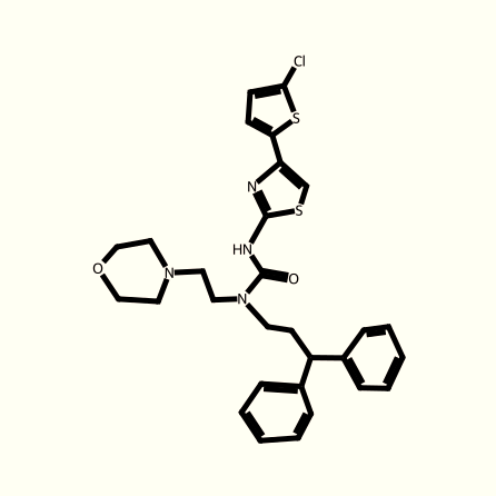 O=C(Nc1nc(-c2ccc(Cl)s2)cs1)N(CCC(c1ccccc1)c1ccccc1)CCN1CCOCC1